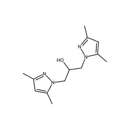 Cc1cc(C)n(CC(O)Cn2nc(C)cc2C)n1